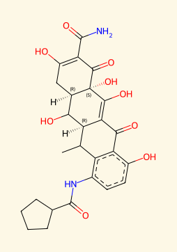 CC1c2c(NC(=O)C3CCCC3)ccc(O)c2C(=O)C2=C(O)[C@]3(O)C(=O)C(C(N)=O)=C(O)C[C@@H]3C(O)[C@@H]21